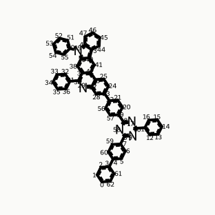 c1ccc(-c2ccc(-c3nc(-c4ccccc4)nc(-c4ccc(-c5ccc6c(c5)nc(-c5ccccc5)c5cc7c(cc56)c5ccccc5n7-c5ccccc5)cc4)n3)cc2)cc1